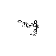 COCc1cc(-c2nnc3c4ccccc4c(OC=C4C=CC(C(=O)NCCO)=CN4)nn23)no1